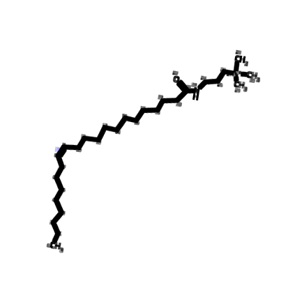 CCCCCCCC/C=C\CCCCCCCCCCCC(=O)NCCC[N+](C)(C)C